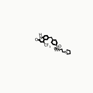 O=c1cc(C(F)(F)F)c2cc(Cc3ccc(S(=O)(=O)NCCN4CCCC4)cc3)ccc2[nH]1